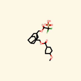 COC1CCC(C(=O)OCC23CC4CC(C2)CC(COC(=O)C(F)(F)S(=O)(=O)O)(C4)C3)CC1